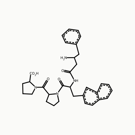 NC(CC(=O)NC(Cc1ccc2ccccc2c1)C(=O)N1CCCC1C(=O)N1CCCC1C(=O)O)Cc1ccccc1